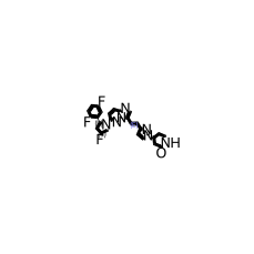 O=C1CC(n2ccc(/C=C/c3cnc4ccc(N5C[C@@H](F)C[C@@H]5c5cc(F)ccc5F)nn34)n2)CCN1